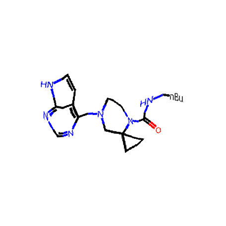 CCCCNC(=O)N1CCN(c2ncnc3[nH]ccc23)CC12CC2